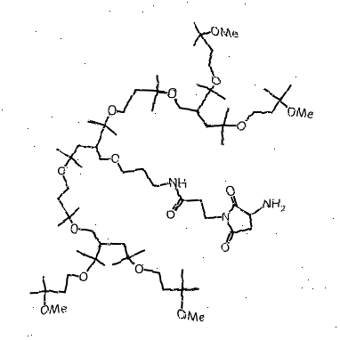 COC(C)(C)CCOC(C)(C)CC(COC(C)(C)CCOC(C)(C)CC(COCCCNC(=O)CCN1C(=O)CC(N)C1=O)C(C)(C)OCCC(C)(C)OCC(CC(C)(C)OCCC(C)(C)OC)C(C)(C)OCCC(C)(C)OC)C(C)(C)OCCC(C)(C)OC